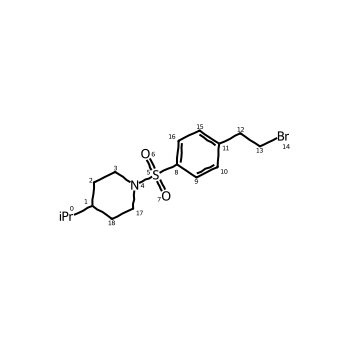 CC(C)C1CCN(S(=O)(=O)c2ccc(CCBr)cc2)CC1